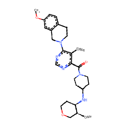 COc1c(C(=O)N2CCC(N[C@@H]3CCOC[C@@H]3OC)CC2)ncnc1N1CCc2ccc(OC(F)(F)F)cc2C1